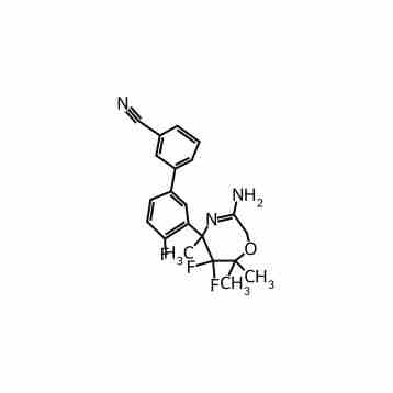 CC1(C)OCC(N)=NC(C)(c2cc(-c3cccc(C#N)c3)ccc2F)C1(F)F